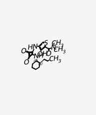 CCC[C@H]1CCCC[C@@H]1Nc1c(Nc2csc(C(=O)N(C)C)c2O)c(=O)c1=O